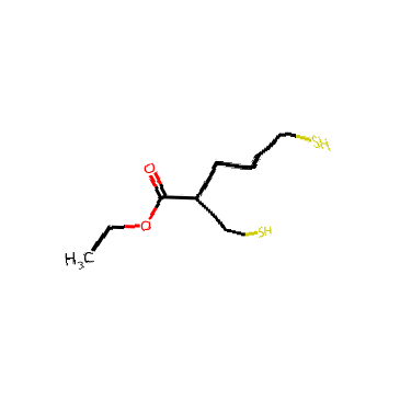 CCOC(=O)C(CS)CCCS